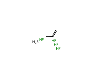 C=CC.F.F.F.F.[SiH4]